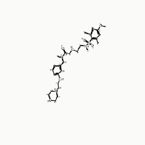 COc1cc(C)c(S(=O)(=O)N(C)CCOCC(=O)N(C)Cc2cccc(OCCN3CCOCC3)c2)c(C)c1